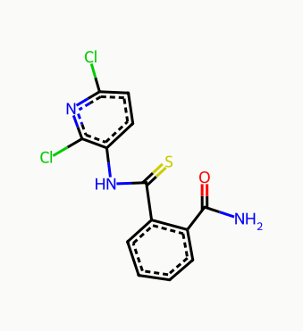 NC(=O)c1ccccc1C(=S)Nc1ccc(Cl)nc1Cl